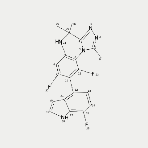 Cc1nnc2n1-c1c(cc(F)c(-c3ccc(F)c4[nH]ccc34)c1F)NC2(C)C